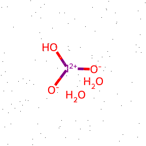 O.O.[O-][I+2]([O-])O